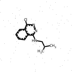 CC(C)CNc1nnc(Cl)c2ccccc12